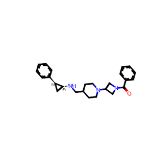 O=C(c1ccccc1)N1CC(N2CCC(CN[C@@H]3C[C@H]3c3ccccc3)CC2)C1